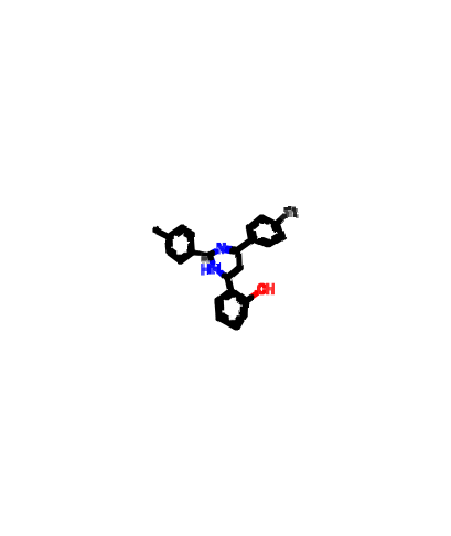 CCc1ccc(C2=N[C@H](c3ccc(C)cc3)NC(c3ccccc3O)C2)cc1